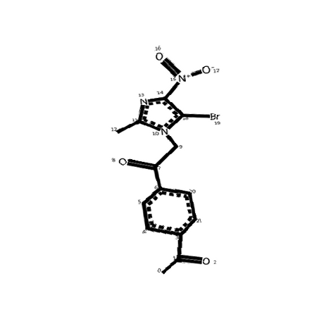 CC(=O)c1ccc(C(=O)Cn2c(C)nc([N+](=O)[O-])c2Br)cc1